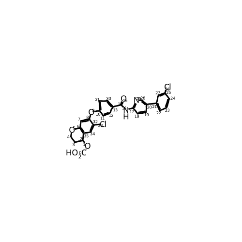 O=C(O)OC1CCOc2cc(Oc3ccc(C(=O)Nc4ccc(-c5cccc(Cl)c5)cn4)cc3)c(Cl)cc21